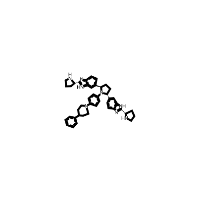 c1ccc(C2CCN(c3ccc(N4[C@@H](c5ccc6nc([C@@H]7CCCN7)[nH]c6c5)CC[C@@H]4c4ccc5nc([C@@H]6CCCN6)[nH]c5c4)cc3)CC2)cc1